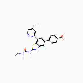 CCNC(=O)Nc1nc2c(F)c(-c3ccc(C(=O)O)cc3)cc(-c3ccccn3)c2s1.[LiH]